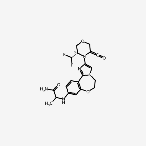 CC(Nc1ccc2c(c1)OCCn1cc(N3C(=C=O)COC[C@H]3C(F)F)nc1-2)C(N)=O